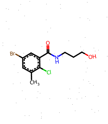 Cc1cc(Br)cc(C(=O)NCCCO)c1Cl